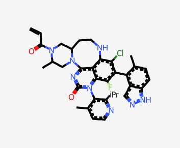 C=CC(=O)N1CC2CCNc3c(Cl)c(-c4c(C)ccc5[nH]ncc45)c(F)c4c3c(nc(=O)n4-c3c(C)ccnc3C(C)C)N2CC1C